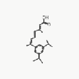 C/C(=C/C=C/C(C)=C/C(=O)O)c1cc(C(C)C)cc(C(C)C)c1